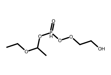 CCOC(C)O[PH](=O)OOCCO